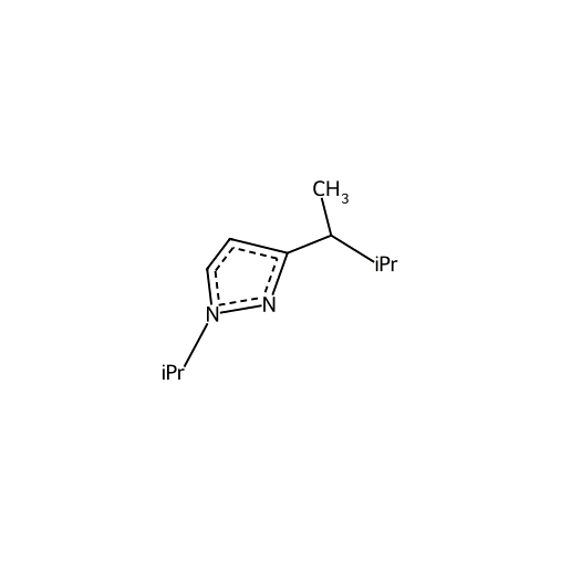 CC(C)C(C)c1ccn(C(C)C)n1